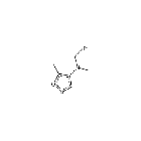 Cc1oncc1N(C)CC(C)C